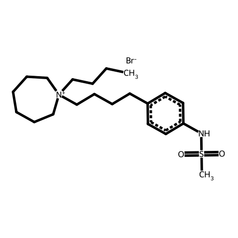 CCCC[N+]1(CCCCc2ccc(NS(C)(=O)=O)cc2)CCCCCC1.[Br-]